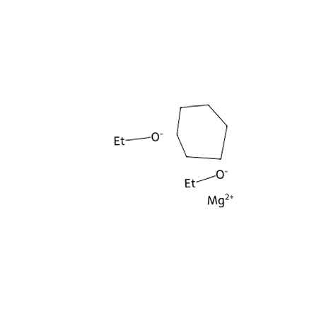 C1CCCCC1.CC[O-].CC[O-].[Mg+2]